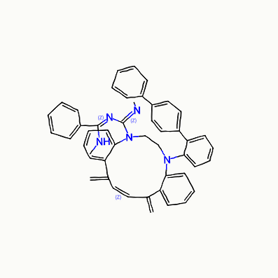 C=C1/C=C\C(=C)c2ccccc2N(c2ccccc2-c2ccc(-c3ccccc3)cc2)CCN(C(/N=C(\NC)c2ccccc2)=N/C)c2ccccc21